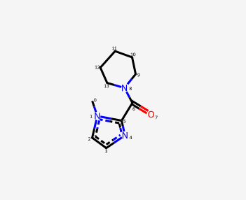 Cn1ccnc1C(=O)N1CCCCC1